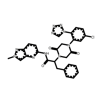 Cn1cc2nc(NC(=O)C(Cc3ccccc3)N3CC(=O)N(c4cc(Cl)ccc4-n4cnnn4)CC3=O)ccc2n1